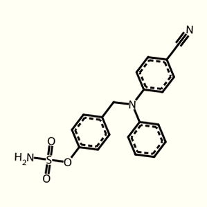 N#Cc1ccc(N(Cc2ccc(OS(N)(=O)=O)cc2)c2ccccc2)cc1